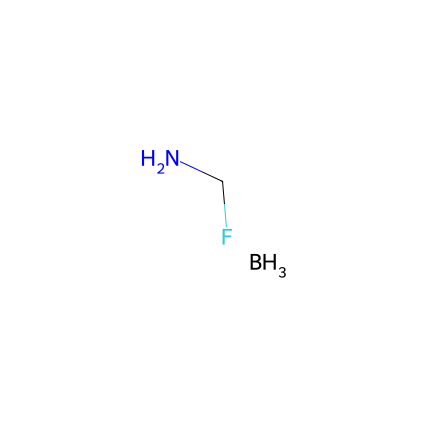 B.NCF